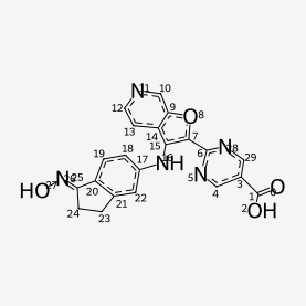 O=C(O)c1cnc(-c2oc3cnccc3c2Nc2ccc3c(c2)CCC3=NO)nc1